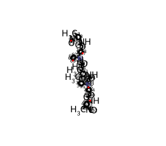 Cc1ccc(NC(=O)Oc2ccc(/C(=N/OC(=O)NCC3(C)CC(NC(=O)O/N=C(\c4ccccc4)c4ccc(OC(=O)Nc5ccc(C)c(N=C=O)c5)cc4)CC(C)(C)C3)c3ccccc3)cc2)cc1N=C=O